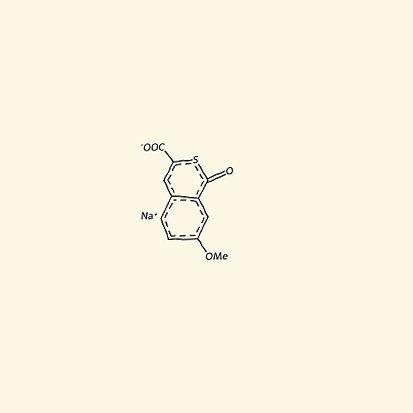 COc1ccc2cc(C(=O)[O-])sc(=O)c2c1.[Na+]